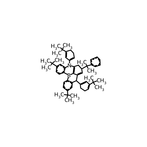 CC(C)(C)C1=CCCC(C2C3=CC(C(C)(C)c4ccccc4)CC4=C3B(c3ccc(C(C)(C)C)cc32)c2ccc(C(C)(C)C)cc2N4C2=CCCC(C(C)(C)C)=C2)=C1